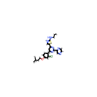 CCCNc1ncc(-c2cc(-c3ccc(OCCC(C)C)cc3Cl)nc(-c3cnccn3)n2)s1